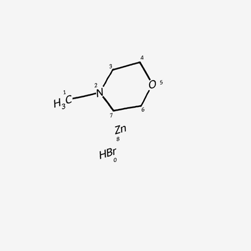 Br.CN1CCOCC1.[Zn]